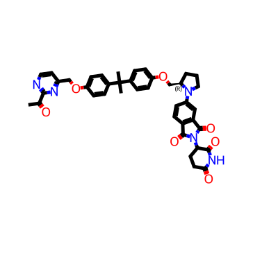 CC(=O)c1nccc(COc2ccc(C(C)(C)c3ccc(OC[C@H]4CCCN4c4ccc5c(c4)C(=O)N(C4CCC(=O)NC4=O)C5=O)cc3)cc2)n1